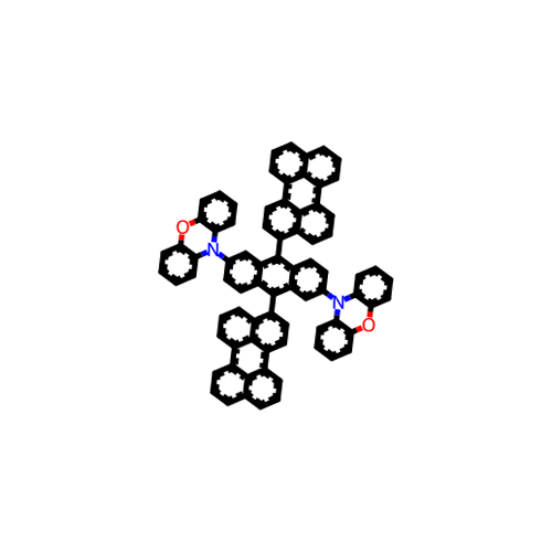 c1ccc2c(c1)Oc1ccccc1N2c1ccc2c(-c3ccc4c5cccc6cccc(c7cccc3c74)c65)c3cc(N4c5ccccc5Oc5ccccc54)ccc3c(-c3ccc4c5cccc6cccc(c7cccc3c74)c65)c2c1